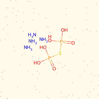 N.N.N.N.O=P(O)(O)SP(=O)(O)O